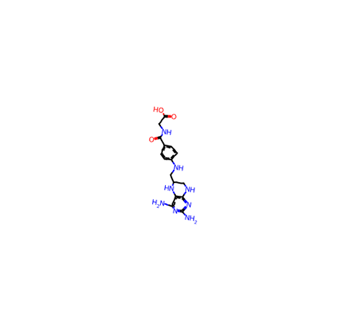 Nc1nc(N)c2c(n1)NCC(CNc1ccc(C(=O)NCC(=O)O)cc1)N2